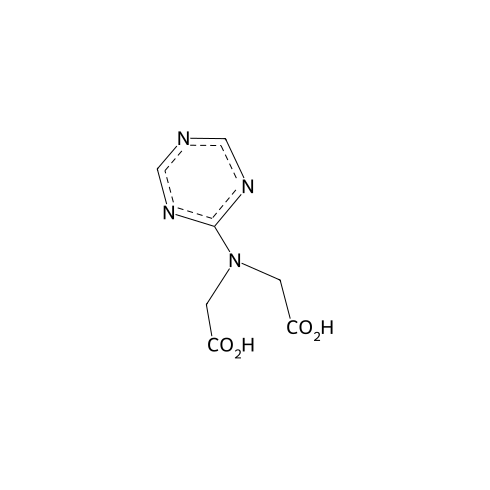 O=C(O)CN(CC(=O)O)c1ncncn1